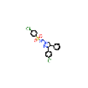 O=S(=O)(/N=C/N1CC(c2ccccc2)C(c2ccc(Cl)cc2)=N1)c1ccc(Cl)cc1